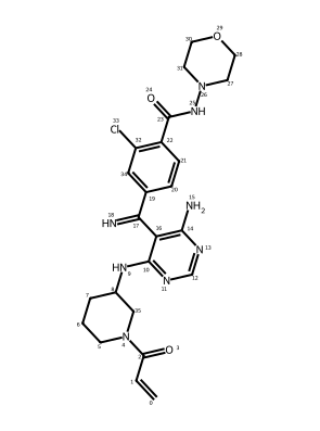 C=CC(=O)N1CCCC(Nc2ncnc(N)c2C(=N)c2ccc(C(=O)NN3CCOCC3)c(Cl)c2)C1